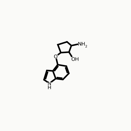 NC1CCC(Oc2cccc3[nH]ccc23)C1O